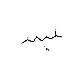 CCCCNCCCCCC(C)N.[Li+].[NH2-]